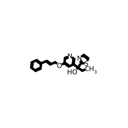 CCC(O)(c1cncc(OC/C=C/c2ccccc2)c1)c1nccs1